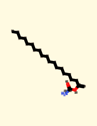 C=C(CCCCCCCCCCCCCCCCCC)OC(N)=O